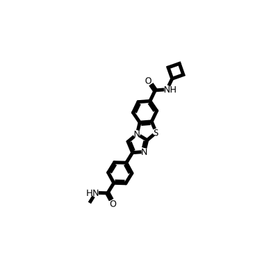 CNC(=O)c1ccc(-c2cn3c(n2)sc2cc(C(=O)NC4CCC4)ccc23)cc1